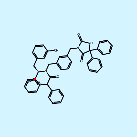 N#Cc1cccc(C[C@H](C(N)=O)N(Cc2cccc(CN3C(=O)NC(c4ccccc4)(c4ccccc4)C3=O)c2)C(=O)C(c2ccccc2)c2ccccc2)c1